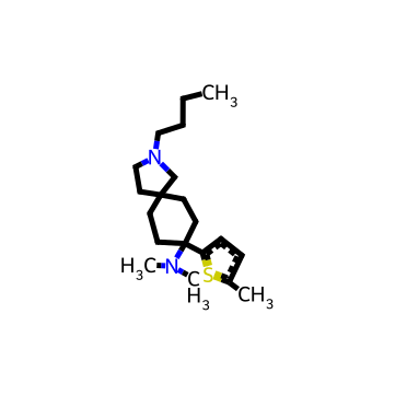 CCCCN1CCC2(CCC(c3ccc(C)s3)(N(C)C)CC2)C1